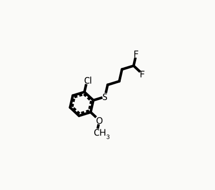 COc1cccc(Cl)c1SCCCC(F)F